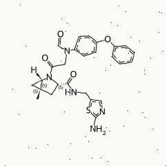 C[C@@]12C[C@@H]1N(C(=O)CN(C=O)c1ccc(Oc3ccccc3)cc1)[C@H](C(=O)NCc1cnc(N)s1)C2